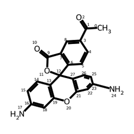 CC(=O)c1ccc2c(c1)C(=O)OC21c2ccc(N)cc2Oc2cc(N)ccc21